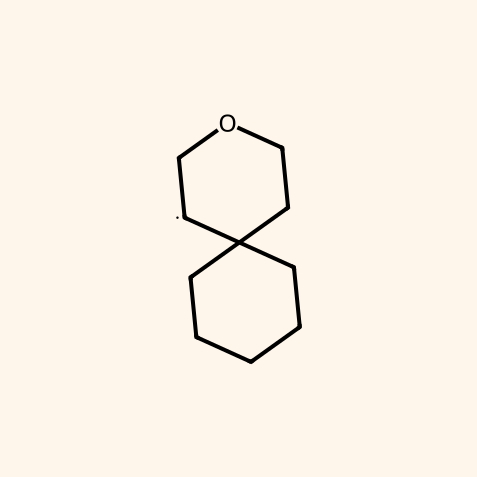 [CH]1COCCC12CCCCC2